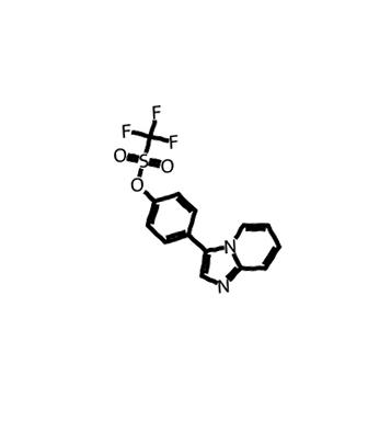 O=S(=O)(Oc1ccc(-c2cnc3ccccn23)cc1)C(F)(F)F